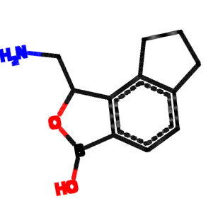 NCC1OB(O)c2ccc3c(c21)CCC3